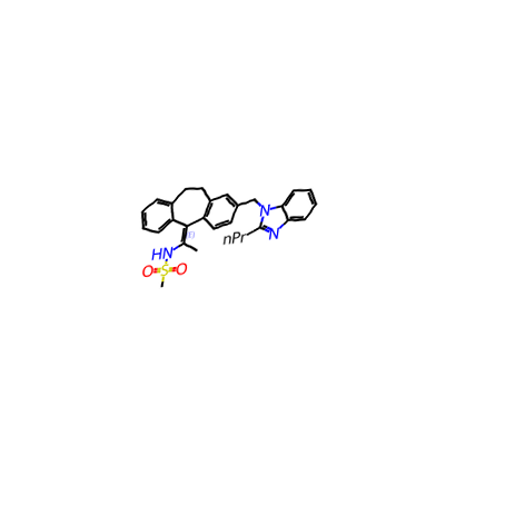 CCCc1nc2ccccc2n1Cc1ccc2c(c1)CCc1ccccc1/C2=C(/C)NS(C)(=O)=O